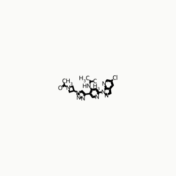 CC(=O)N1CC(n2cc(-c3cnc(-n4ncc5cc(Cl)cnc54)cc3NC(C)C)nn2)C1